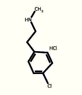 CNCCc1ccc(Cl)cc1.Cl